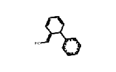 O/C=C1\C=CC=CC1c1[c]cccc1